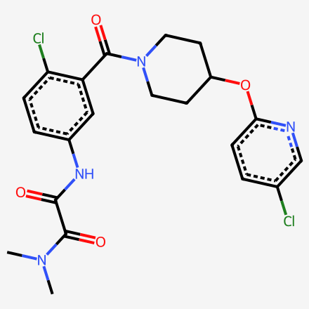 CN(C)C(=O)C(=O)Nc1ccc(Cl)c(C(=O)N2CCC(Oc3ccc(Cl)cn3)CC2)c1